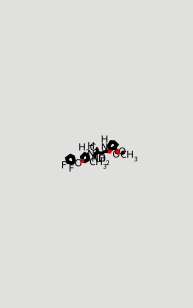 C=C/C(C(=O)c1cc2c(C(=O)OC)cccc2[nH]1)=C(/N)Nc1ccc(Oc2cccc(F)c2F)cc1C